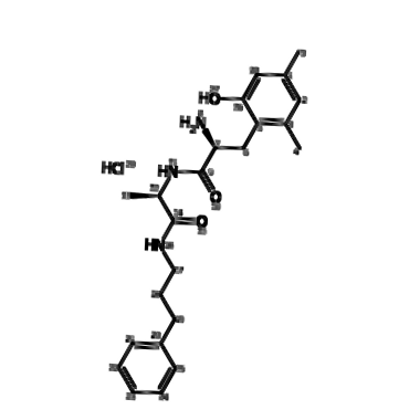 Cc1cc(C)c(C[C@H](N)C(=O)N[C@H](C)C(=O)NCCCc2ccccc2)c(O)c1.Cl